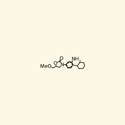 COCC1CN(c2ccc(C3CCCCC3)c(N)c2)C(=O)O1